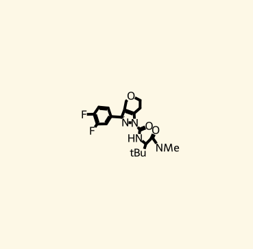 CNC(=O)C(NC(=O)n1nc(-c2ccc(F)c(F)c2)c2c1CCOC2)C(C)(C)C